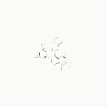 C=C(CO)CC1Oc2c(F)cc(F)cc2-c2ccc3c(c21)C(C)=CC(C)(C)N3